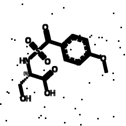 COc1ccc(C(=O)S(=O)(=O)N[C@@H](CO)C(=O)O)cc1